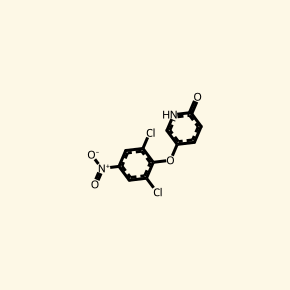 O=c1ccc(Oc2c(Cl)cc([N+](=O)[O-])cc2Cl)c[nH]1